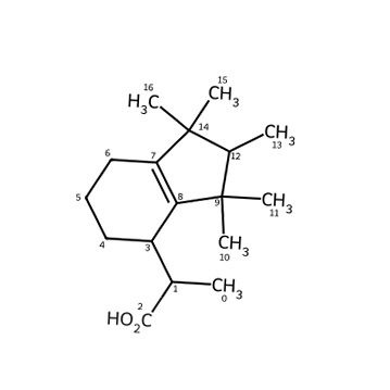 CC(C(=O)O)C1CCCC2=C1C(C)(C)C(C)C2(C)C